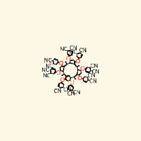 CC1c2cc(c(Oc3ccc(C#N)c(C#N)c3)cc2Oc2ccc(C#N)c(C#N)c2)C(C)c2cc(c(Oc3ccc(C#N)c(C#N)c3)cc2Oc2ccc(C#N)c(C#N)c2)C(C)c2cc(c(Oc3ccc(C#N)c(C#N)c3)cc2Oc2ccc(C#N)c(C#N)c2)C(C)c2cc1c(Oc1ccc(C#N)c(C#N)c1)cc2Oc1ccc(C#N)c(C#N)c1